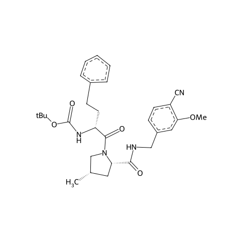 COc1cc(CNC(=O)[C@@H]2C[C@H](C)CN2C(=O)[C@@H](CCc2ccccc2)NC(=O)OC(C)(C)C)ccc1C#N